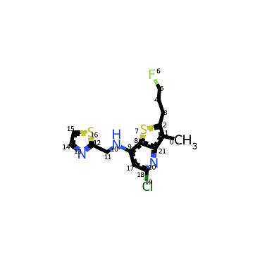 Cc1c(CCCF)sc2c(NCc3nccs3)cc(Cl)nc12